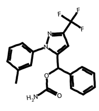 Cc1cccc(-n2nc(C(F)(F)F)cc2C(OC(N)=O)c2ccccc2)c1